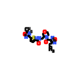 Cc1nonc1C(=O)N1CCOCC1CNC(=O)c1ccc(-c2noc(C(F)(F)F)n2)s1